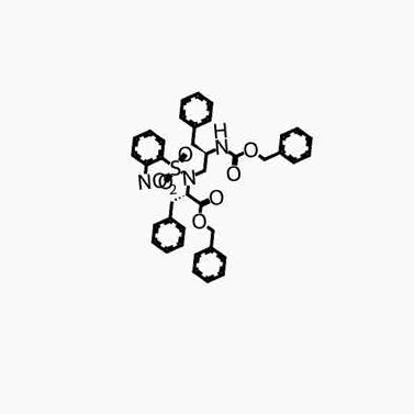 O=C(N[C@H](Cc1ccccc1)CN([C@@H](Cc1ccccc1)C(=O)OCc1ccccc1)S(=O)(=O)c1ccccc1[N+](=O)[O-])OCc1ccccc1